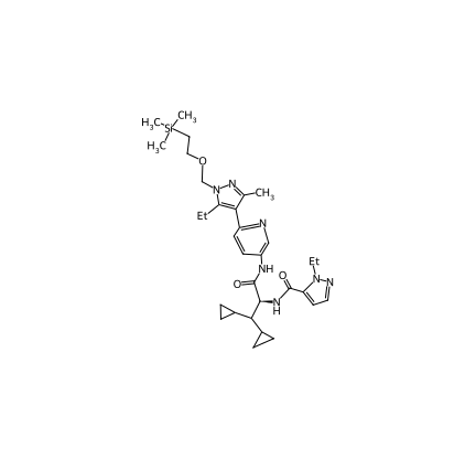 CCc1c(-c2ccc(NC(=O)[C@@H](NC(=O)c3ccnn3CC)C(C3CC3)C3CC3)cn2)c(C)nn1COCC[Si](C)(C)C